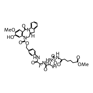 COC(=O)CCCCC(=O)NS(=O)(=O)NC(C(=O)N[C@@H](C)C(=O)Nc1ccc(COC(=O)N2C[C@@H]3Cc4ccccc4N3C(=O)c3cc(OC)c(O)cc32)cc1)C(C)C